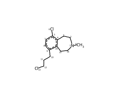 CN1CCc2c(Cl)ccc(CCCCl)c2CC1